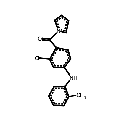 Cc1ccccc1Nc1ccc(C(=O)n2cccc2)c(Cl)c1